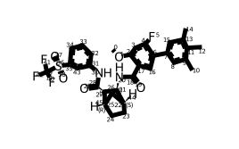 COc1cc(F)c(-c2cc(C)c(C)c(C)c2)cc1C(=O)N[C@@H]1[C@H]2CC[C@H](C2)[C@@H]1C(=O)Nc1cccc(S(=O)(=O)C(F)(F)F)c1